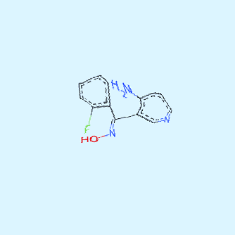 Nc1ccncc1/C(=N/O)c1ccccc1F